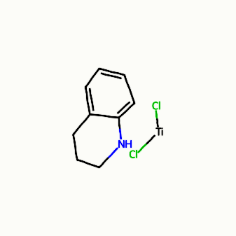 [Cl][Ti][Cl].c1ccc2c(c1)CCCN2